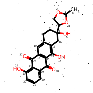 CC1OCC(C2(O)CCc3cc4c(c(O)c3C2)C(=O)c2cccc(O)c2C4=O)O1